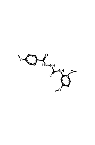 COc1ccc(C(=O)NNC(=O)Nc2cc(OC)ccc2OC)cc1